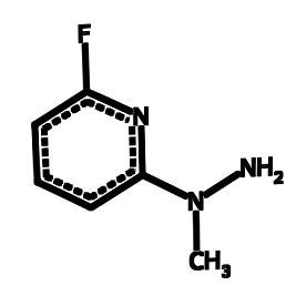 CN(N)c1cccc(F)n1